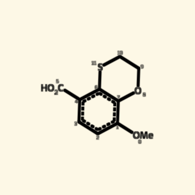 COc1ccc(C(=O)O)c2c1OCCS2